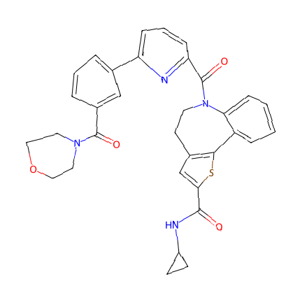 O=C(NC1CC1)c1cc2c(s1)-c1ccccc1N(C(=O)c1cccc(-c3cccc(C(=O)N4CCOCC4)c3)n1)CC2